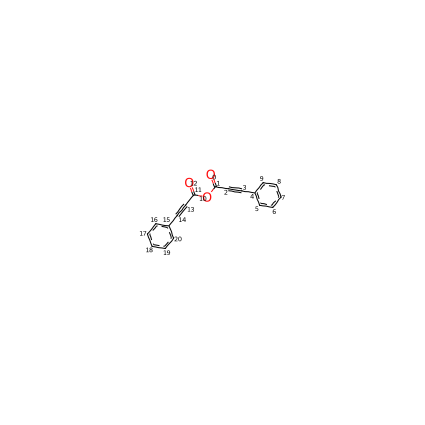 O=C(C#Cc1ccccc1)OC(=O)C#Cc1ccccc1